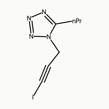 CCCc1nnnn1CC#CI